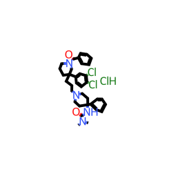 CN(C)C(=O)NC1(c2ccccc2)CCN(CCCC2(c3ccc(Cl)c(Cl)c3)CCCN(C(=O)c3ccccc3)C2)CC1.Cl